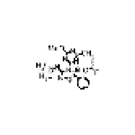 COc1nc(C)nc(N(C(N)=NN(C)C)S(=O)(=O)c2ccccc2OC(F)F)n1